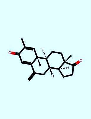 C=C1C[C@@H]2[C@H](CC[C@]3(C)C(=O)CC[C@@H]23)[C@@]2(C)C=C(C)C(=O)C=C12